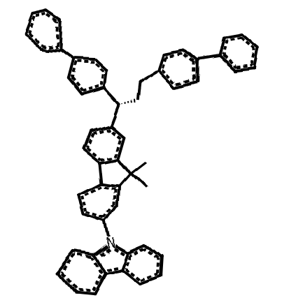 CC1(C)c2cc([C@@H](CCc3ccc(-c4ccccc4)cc3)c3ccc(-c4ccccc4)cc3)ccc2-c2ccc(-n3c4ccccc4c4ccccc43)cc21